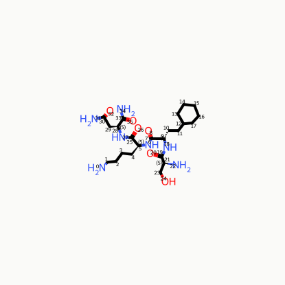 NCCCC[C@H](NC(=O)[C@H](CCC1CCCCC1)NC(=O)[C@@H](N)CO)C(=O)N[C@@H](CC(N)=O)C(N)=O